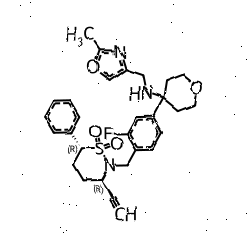 C#C[C@H]1CC[C@H](c2ccccc2)S(=O)(=O)N1Cc1ccc(C2(NCc3coc(C)n3)CCOCC2)cc1F